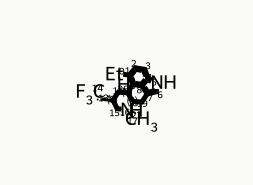 CCc1ccc2[nH]cc3c2c1[C@H]1C[C@H]([CH]C(F)(F)F)CN(C)[C@@H]1C3